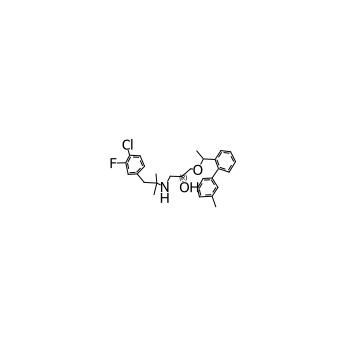 Cc1cccc(-c2ccccc2C(C)OC[C@H](O)CNC(C)(C)Cc2ccc(Cl)c(F)c2)c1